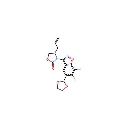 C=CCC1COC(=O)N1c1noc2c(F)c(F)c(C3OCCO3)cc12